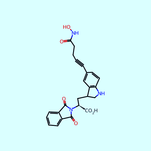 O=C(CCC#Cc1ccc2c(c1)C(C[C@@H](C(=O)O)N1C(=O)c3ccccc3C1=O)CN2)NO